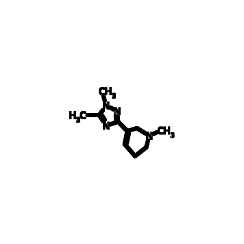 Cc1nc(C2=CCCN(C)C2)nn1C